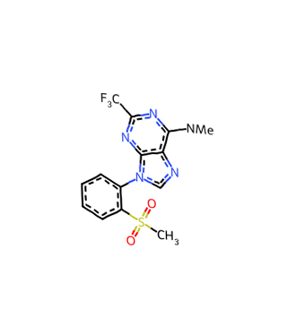 CNc1nc(C(F)(F)F)nc2c1ncn2-c1ccccc1S(C)(=O)=O